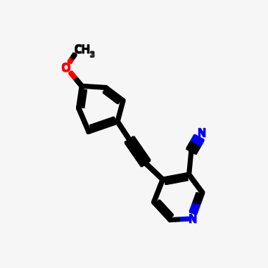 COc1ccc(C#Cc2ccncc2C#N)cc1